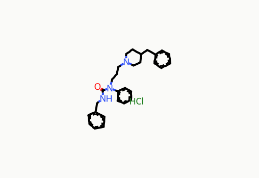 Cl.O=C(NCc1ccccc1)N(CCCN1CCC(Cc2ccccc2)CC1)c1ccccc1